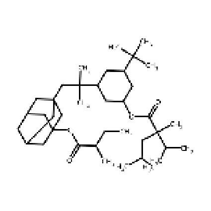 CCC(C)C(=O)OC12CC3CC(CC(CC(C)(C)C4CC(OC(=O)C(C)(CC(C)C)C(C)C)CC(C(C)(C)C)C4)(C3)C1)C2